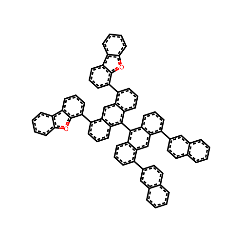 c1ccc2cc(-c3cccc4c(-c5c6cccc(-c7cccc8c7oc7ccccc78)c6cc6c(-c7cccc8c7oc7ccccc78)cccc56)c5cccc(-c6ccc7ccccc7c6)c5cc34)ccc2c1